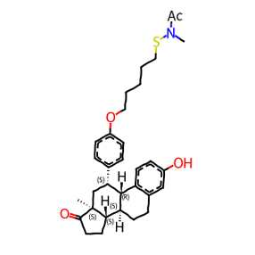 CC(=O)N(C)SCCCCCOc1ccc([C@H]2C[C@]3(C)C(=O)CC[C@H]3[C@@H]3CCc4cc(O)ccc4[C@H]32)cc1